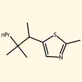 CCCC(C)(C)C(C)c1cnc(C)s1